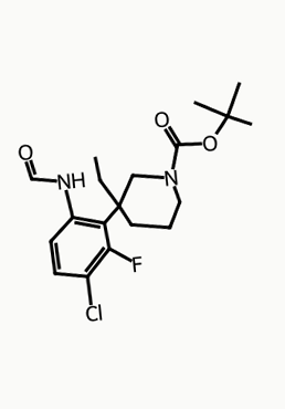 CCC1(c2c(NC=O)ccc(Cl)c2F)CCCN(C(=O)OC(C)(C)C)C1